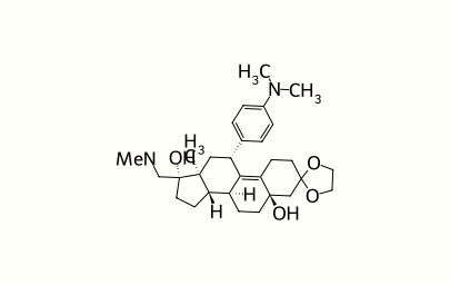 CNC[C@]1(O)CC[C@H]2[C@@H]3CC[C@@]4(O)CC5(CCC4=C3[C@@H](c3ccc(N(C)C)cc3)C[C@@]21C)OCCO5